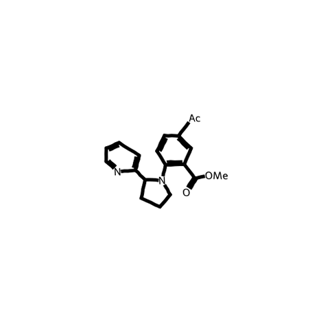 COC(=O)c1cc(C(C)=O)ccc1N1CCCC1c1ccccn1